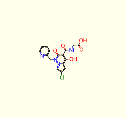 O=C(O)CNC(=O)c1c(O)c2cc(Cl)cn2n(Cc2ccccn2)c1=O